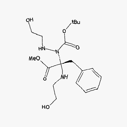 COC(=O)[C@@](Cc1ccccc1)(NCCO)N(NCCO)C(=O)OC(C)(C)C